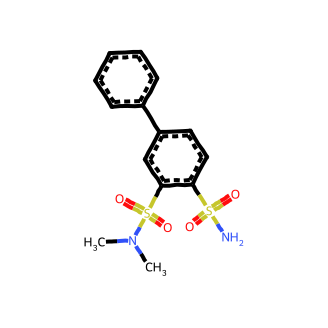 CN(C)S(=O)(=O)c1cc(-c2ccccc2)ccc1S(N)(=O)=O